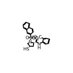 O=C(O)c1ccccc1NC(=O)[C@@H]1C[C@H](S)CN1S(=O)(=O)c1ccc2ccccc2c1